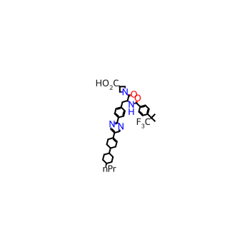 CCCC1CCC(C2CC=C(c3cnc(-c4ccc(CC(NC(=O)c5ccc(C(C)(C)C(F)(F)F)cc5)C(=O)N5CC(C(=O)O)C5)cc4)nc3)CC2)CC1